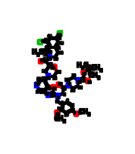 COc1ccc(CN(CC(=O)N2CCN(C(=O)OC(C)(C)C)CC2)c2nc3cncc(N4CCO[C@@H](C(=O)N5CCc6cc(Cl)cc(Cl)c6[C@@H]5C)C4)c3o2)c(OC)c1